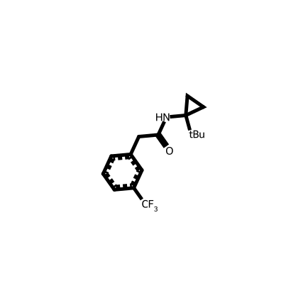 CC(C)(C)C1(NC(=O)Cc2cccc(C(F)(F)F)c2)CC1